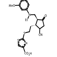 CCN(C[C@H]1C(=O)CC(C#N)[C@@H]1CCSc1nc(C(=O)O)cs1)c1cccc(OC)c1